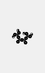 COc1cccc(N(c2ccc(N(c3ccccc3)c3ccc(N(c4ccccc4)c4ccc(N(c5cccc(OC)c5)c5cccc(OC)c5)cc4)cc3)cc2)c2cccc(OC)c2)c1